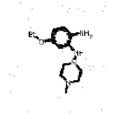 CCOc1ccc(N)c(NN2CCN(C)CC2)c1